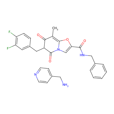 CC1=C2OC(C(=O)NCc3ccccc3)=CN2C(=O)C(Cc2ccc(F)c(F)c2)C1=O.NCc1ccncc1